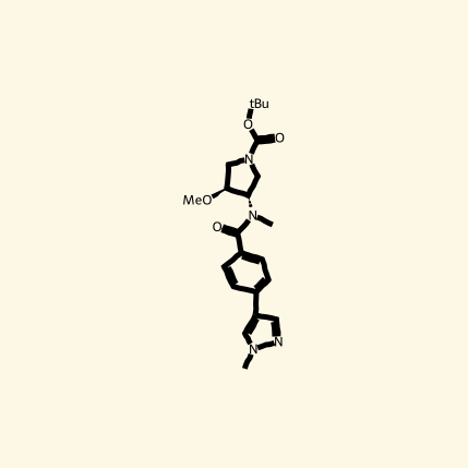 CO[C@H]1CN(C(=O)OC(C)(C)C)C[C@@H]1N(C)C(=O)c1ccc(-c2cnn(C)c2)cc1